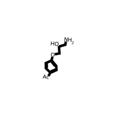 CC(=O)c1ccc(OCC(O)CN)cc1